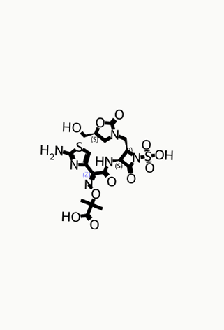 CC(C)(O/N=C(\C(=O)N[C@@H]1C(=O)N(S(=O)(=O)O)[C@@H]1CN1C[C@@H](CO)OC1=O)c1csc(N)n1)C(=O)O